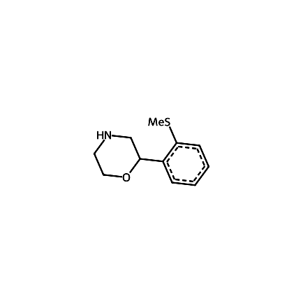 CSc1ccccc1C1CNCCO1